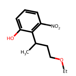 CCOCCC(C)c1c(O)cccc1[N+](=O)[O-]